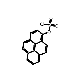 O=S(=O)(Cl)Oc1ccc2ccc3cccc4ccc1c2c34